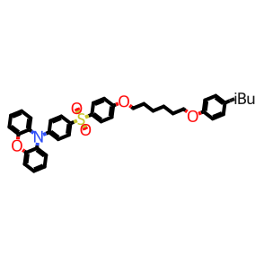 CCC(C)c1ccc(OCCCCCCOc2ccc(S(=O)(=O)c3ccc(N4c5ccccc5Oc5ccccc54)cc3)cc2)cc1